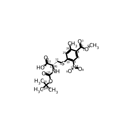 COC(=O)c1cc([N+](=O)[O-])c(SC[C@H](NC(=O)OC(C)(C)C)C(=O)O)cc1C